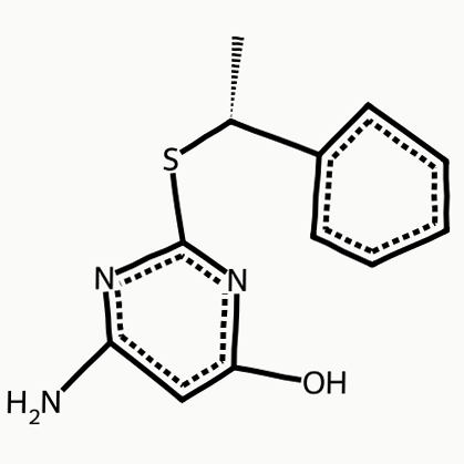 C[C@@H](Sc1nc(N)cc(O)n1)c1ccccc1